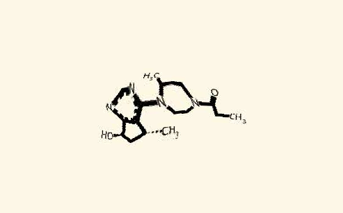 CCC(=O)N1CCN(c2ncnc3c2[C@H](C)C[C@H]3O)C(C)C1